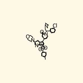 Cc1ccc(S(=O)(=O)n2cc(-c3ccn(C(CN4CC4)c4cccc(Cl)c4)c(=O)c3)c3cc(N4CCOCC4)cnc32)cc1